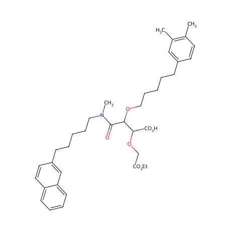 CCOC(=O)COC(C(=O)O)C(OCCCCCc1ccc(C)c(C)c1)C(=O)N(C)CCCCCc1ccc2ccccc2c1